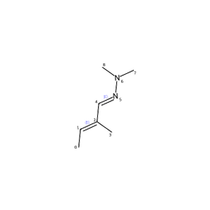 C/C=C(C)/C=N/N(C)C